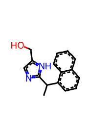 CC(c1ncc(CO)[nH]1)c1cccc2ccccc12